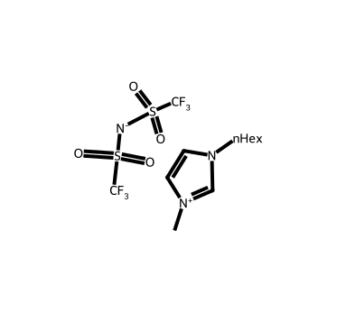 CCCCCCn1cc[n+](C)c1.O=S(=O)([N-]S(=O)(=O)C(F)(F)F)C(F)(F)F